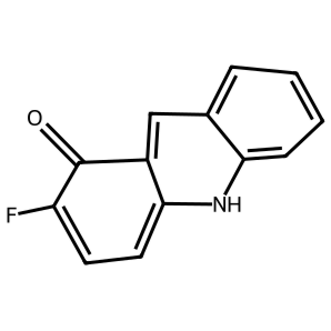 O=c1c(F)ccc2[nH]c3ccccc3cc1-2